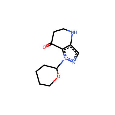 O=C1CCNc2cnn(C3CCCCO3)c21